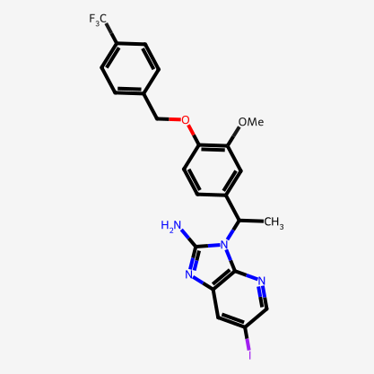 COc1cc(C(C)n2c(N)nc3cc(I)cnc32)ccc1OCc1ccc(C(F)(F)F)cc1